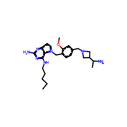 CCCCCNc1nc(N)nc2ccn(Cc3ccc(CN4CC(C(C)NC)C4)cc3OC)c12